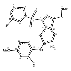 CNCc1cn(S(=O)(=O)c2cncc(F)c2)c2cc(Nc3ccc(OC)nc3Cl)ccc12.Cl